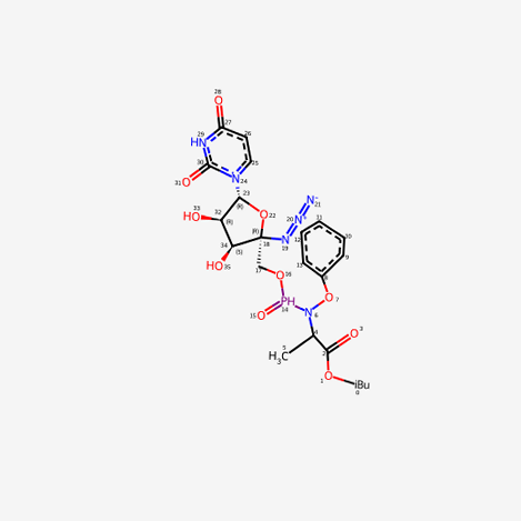 CCC(C)OC(=O)C(C)N(Oc1ccccc1)[PH](=O)OC[C@@]1(N=[N+]=[N-])O[C@@H](n2ccc(=O)[nH]c2=O)[C@H](O)[C@@H]1O